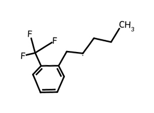 CCC[CH]Cc1ccccc1C(F)(F)F